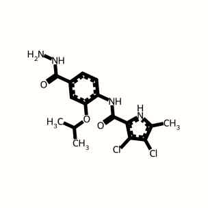 Cc1[nH]c(C(=O)Nc2ccc(C(=O)NN)cc2OC(C)C)c(Cl)c1Cl